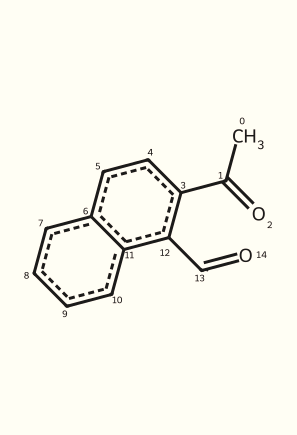 CC(=O)c1ccc2ccccc2c1[C]=O